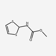 COC(=O)NC1SC=CS1